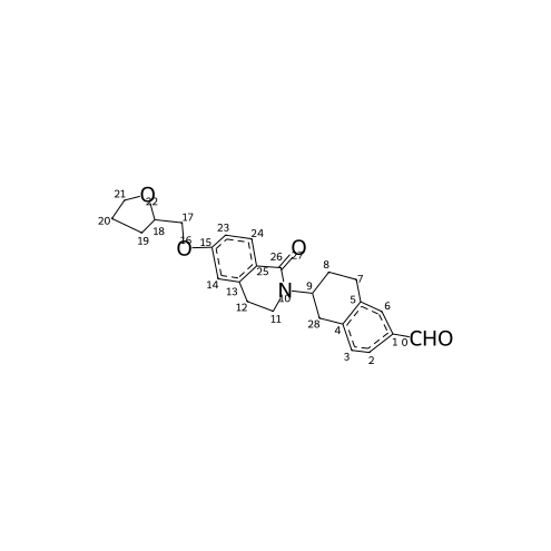 O=Cc1ccc2c(c1)CCC(N1CCc3cc(OCC4CCCO4)ccc3C1=O)C2